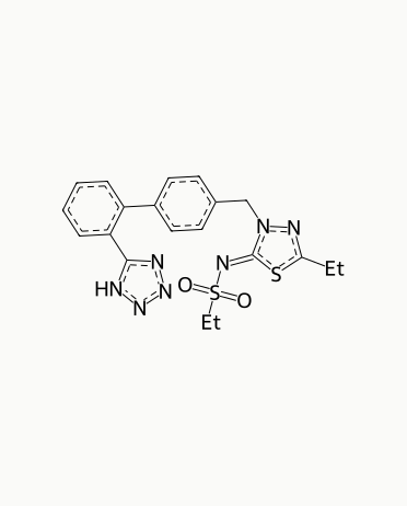 CCc1nn(Cc2ccc(-c3ccccc3-c3nnn[nH]3)cc2)c(=NS(=O)(=O)CC)s1